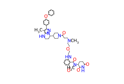 Cc1c(-c2ccc(Oc3ccccc3)cc2)nn2c1NCCC2C1CCN(C(=O)CCN(C)CCOCCNc2cccc(C=O)c2C(=O)N(C)C2CCC(=O)NC2=O)CC1